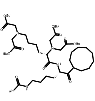 CCCC(=O)NCCCC[C@H](NC(=O)[C@H](CCCCN(CC(=O)OCC(C)C)CC(=O)OCC(C)C)N(CC(=O)OCC(C)C)CC(=O)OCC(C)C)C(=O)C1CCCCCCCC1